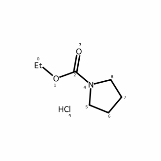 CCOC(=O)N1CCCC1.Cl